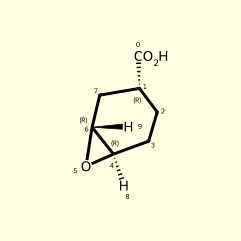 O=C(O)[C@@H]1CC[C@H]2O[C@@H]2C1